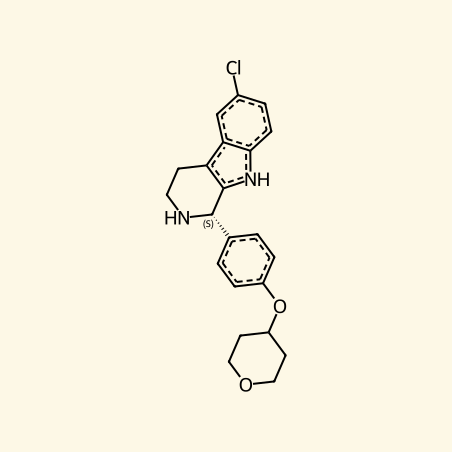 Clc1ccc2[nH]c3c(c2c1)CCN[C@H]3c1ccc(OC2CCOCC2)cc1